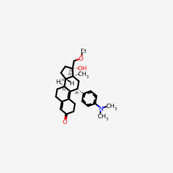 CCOC[C@]1(O)CC[C@H]2[C@@H]3CCC4=CC(=O)CCC4=C3[C@@H](c3ccc(N(C)C)cc3)C[C@@]21C